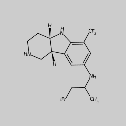 CC(C)CC(C)Nc1cc2c(c(C(F)(F)F)c1)N[C@H]1CCNC[C@@H]21